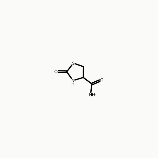 [NH]C(=O)C1CSC(=O)N1